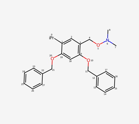 CC(C)c1cc(CON(C)C)c(OCc2ccccc2)cc1OCc1ccccc1